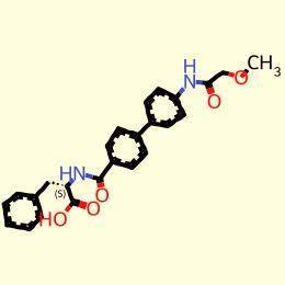 COCC(=O)Nc1ccc(-c2ccc(C(=O)N[C@@H](Cc3ccccc3)C(=O)O)cc2)cc1